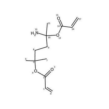 C=CC(=O)OC(C)(C)CCC(C)(N)OC(=O)C=C